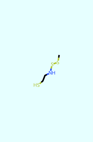 CSSNCCS